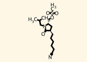 CC(C)CN1C(=O)[C@H](CCCCCC#N)C[C@H]1COS(C)(=O)=O